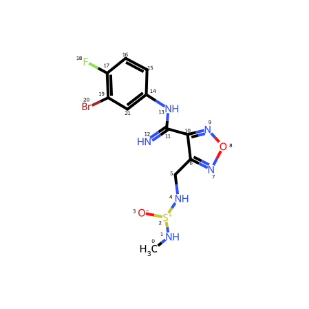 CN[S+]([O-])NCc1nonc1C(=N)Nc1ccc(F)c(Br)c1